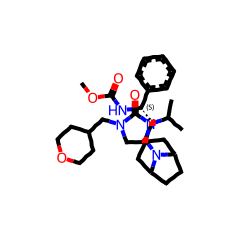 COC(=O)N[C@@H](CCN1C2CCC1CC1(C2)CN(CC2CCOCC2)C(=O)N1C(C)C)c1ccccc1